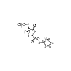 CC(C)CC(CC(=O)OCC(Cl)(Cl)Cl)C(=O)OCc1ccccc1